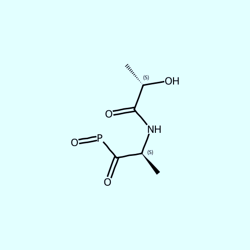 C[C@H](O)C(=O)N[C@@H](C)C(=O)P=O